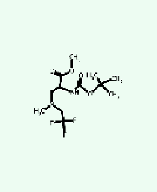 COC(=O)C(CN(C)CC(F)(F)F)NC(=O)OC(C)(C)C